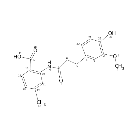 COc1cc(CCC(=O)Nc2cc(C)ccc2C(=O)O)ccc1O